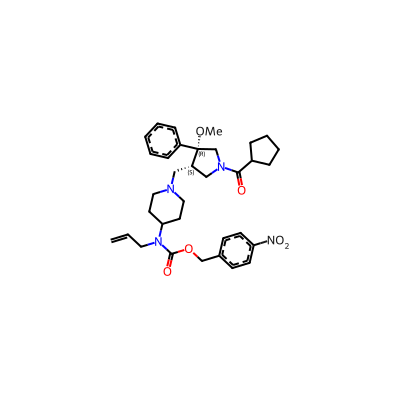 C=CCN(C(=O)OCc1ccc([N+](=O)[O-])cc1)C1CCN(C[C@H]2CN(C(=O)C3CCCC3)C[C@]2(OC)c2ccccc2)CC1